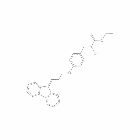 CCOC(=O)C(Cc1ccc(OCCC=C2c3ccccc3-c3ccccc32)cc1)OC